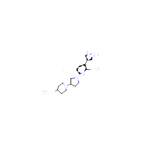 COc1nc(N2CCC(N3CCC(OC)CC3)C2=O)ccc1-c1cn[nH]c1.Cl